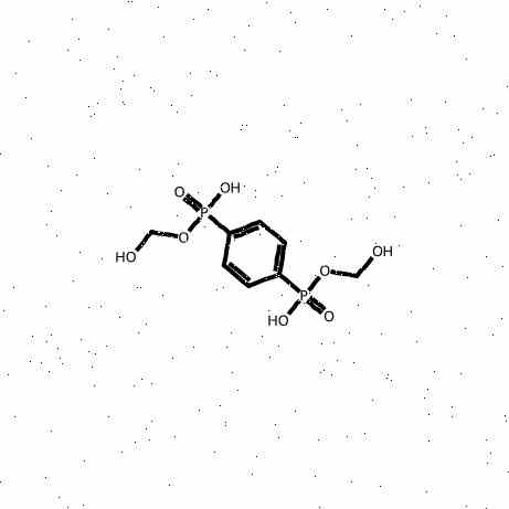 O=P(O)(OCO)c1ccc(P(=O)(O)OCO)cc1